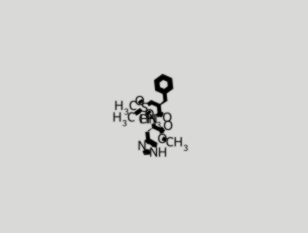 COC(=O)[C@H](Cc1c[nH]cn1)NC(=O)[C@H](Cc1ccccc1)CS(=O)(=O)C(C)(C)C